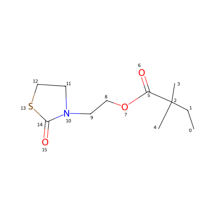 CCC(C)(C)C(=O)OCCN1CCSC1=O